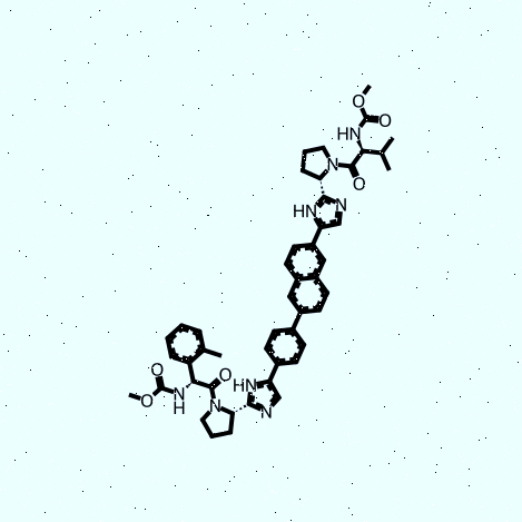 COC(=O)N[C@H](C(=O)N1CCC[C@H]1c1ncc(-c2ccc3cc(-c4ccc(-c5cnc([C@@H]6CCCN6C(=O)[C@H](NC(=O)OC)c6ccccc6C)[nH]5)cc4)ccc3c2)[nH]1)C(C)C